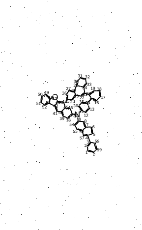 c1ccc(-c2ccc3cc(N(c4ccc(-c5ccccc5-c5cc6ccccc6c6ccccc56)cc4)c4ccc5cc6c(cc5c4)oc4ccccc46)ccc3c2)cc1